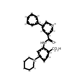 O=C(Nc1cc(N2CCCCC2)ccc1C(=O)O)c1cncc(-c2ccccc2)c1